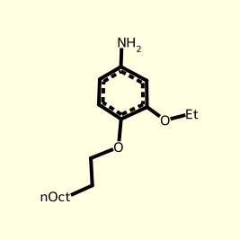 CCCCCCCCCCOc1ccc(N)cc1OCC